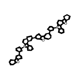 C1=Cc2oc3c(ccc4c3c3ccccc3n4-c3cccc(C4=CCC=c5oc6cc(C7=CC8c9c(n(-c%10cccc(-c%11ccc%12oc%13ccccc%13c%12c%11)c%10)c%10ccccc9%10)C=CC8C=C7)ccc6c5=C4)c3)c2CC1